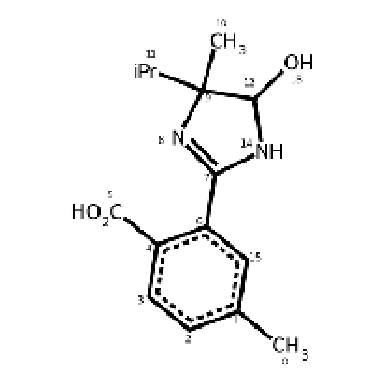 Cc1ccc(C(=O)O)c(C2=NC(C)(C(C)C)C(O)N2)c1